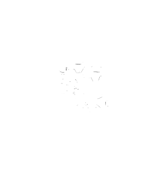 Cc1cccc(C)c1Oc1ccc2c(c1)C(=O)N(C(C(=O)NC1CCN(C(C)c3ccccc3)CC1)C(C)C)CC(=O)N2